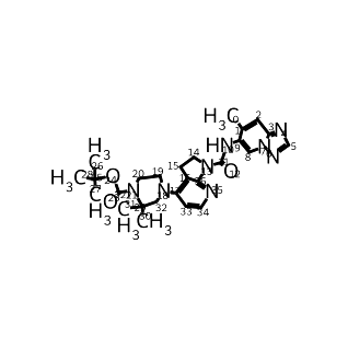 Cc1cc2ncnn2cc1NC(=O)N1CCc2c(N3CCN(C(=O)OC(C)(C)C)C(C)(C)C3)ccnc21